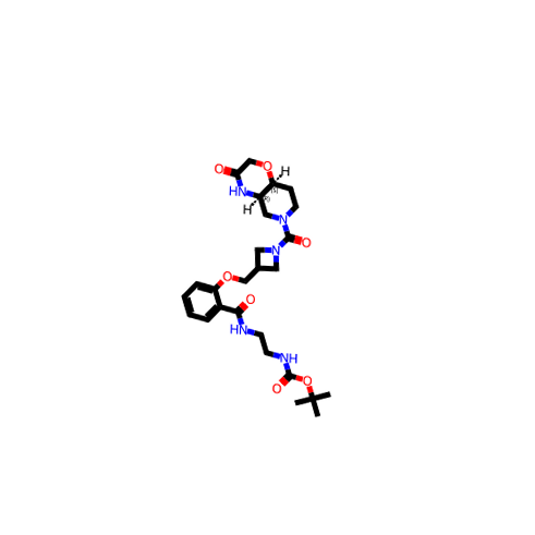 CC(C)(C)OC(=O)NCCNC(=O)c1ccccc1OCC1CN(C(=O)N2CC[C@@H]3OCC(=O)N[C@@H]3C2)C1